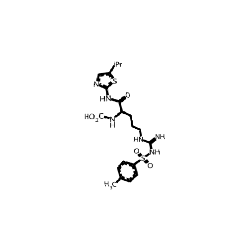 Cc1ccc(S(=O)(=O)NC(=N)NCCCC(NC(=O)O)C(=O)Nc2ncc(C(C)C)s2)cc1